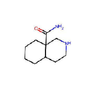 NC(=O)C12CCCCC1CCNC2